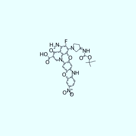 CC(C)(C)OC(=O)N[C@H]1CCN(c2c(F)c(N)c3c(=O)c(C(=O)O)cn4c5cc6oc7cc([N+](=O)[O-])ccc7[nH]c6cc5oc2c34)C1